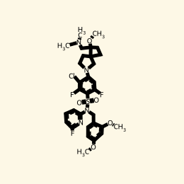 COc1ccc(CN(c2cccc(F)n2)S(=O)(=O)c2c(F)cc(N3CCC4(CCC4(CN(C)C)OC)C3)c(Cl)c2F)c(OC)c1